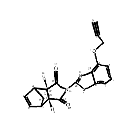 C#CCOc1cccc2sc(N3C(=O)[C@@H]4C5C=CC(C5)[C@@H]4C3=O)nc12